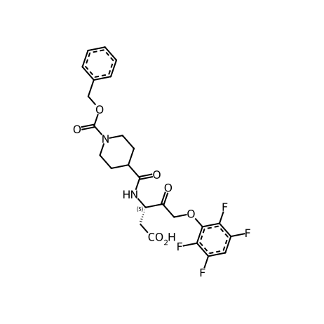 O=C(O)C[C@H](NC(=O)C1CCN(C(=O)OCc2ccccc2)CC1)C(=O)COc1c(F)c(F)cc(F)c1F